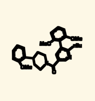 CCCCc1ncc(C(=O)N2CCC(c3ccccc3OC)CC2)cc1-c1c(OC)cccc1OC